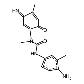 CC1=CC(=O)C(N(C)C(=O)Nc2ccc(N)c(C)c2)=CC1=N